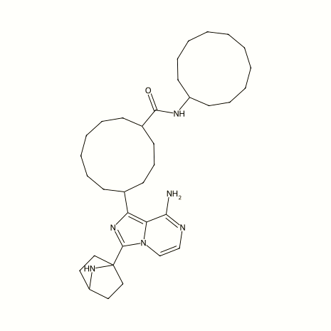 Nc1nccn2c(C34CCC(CC3)N4)nc(C3CCCCCCC(C(=O)NC4CCCCCCCCCC4)CCC3)c12